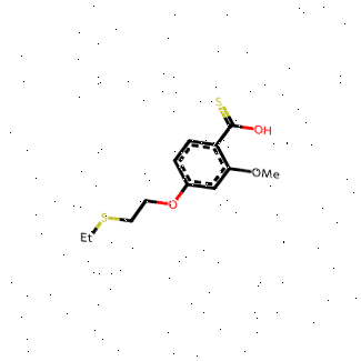 CCSCCOc1ccc(C(O)=S)c(OC)c1